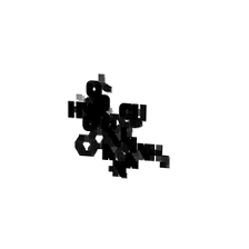 C#C[C@@]1(F)[C@H](O)[C@@H](CO[P@](=O)(N[C@H](C)C(=O)OC(C)C)Oc2cccc3ccccc23)O[C@H]1n1cnc2c(N(C)C)nc(N)nc21